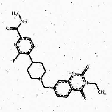 CCn1c(=O)[nH]c2cc(CN3CCC(c4ccc(C(=O)NC)nc4F)CC3)ccc2c1=S